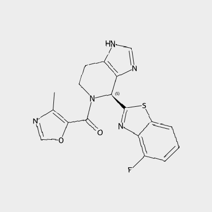 Cc1ncoc1C(=O)N1CCc2[nH]cnc2[C@H]1c1nc2c(F)cccc2s1